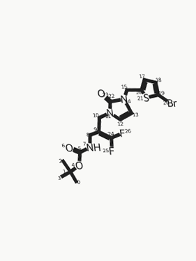 CC(C)(C)OC(=O)NCC(Cn1ccn(Cc2ccc(Br)s2)c1=O)=C(F)F